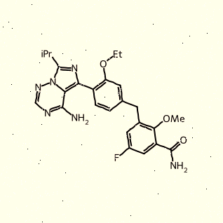 CCOc1cc(Cc2cc(F)cc(C(N)=O)c2OC)ccc1-c1nc(C(C)C)n2ncnc(N)c12